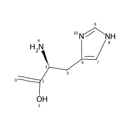 C=C(O)[C@@H](N)Cc1c[nH]cn1